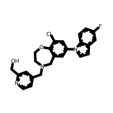 OCc1cc(CN2CCOc3c(Cl)cc(-n4ccc5cc(F)ccc54)cc3C2)ccn1